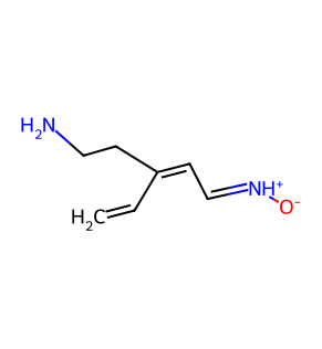 C=C/C(=C\C=[NH+]\[O-])CCN